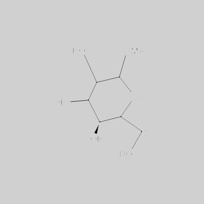 COC1OC(CO)[C@@H](O)C(O)C1O